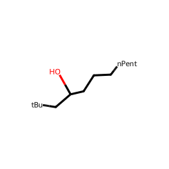 CCCCCCCCC(O)CC(C)(C)C